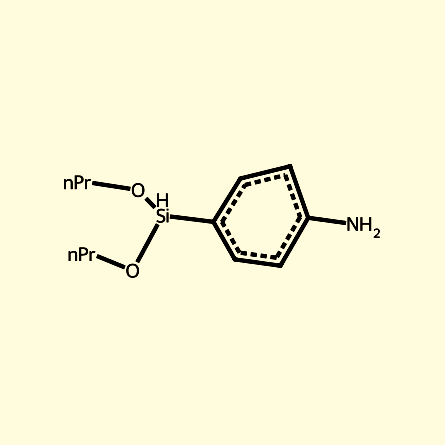 CCCO[SiH](OCCC)c1ccc(N)cc1